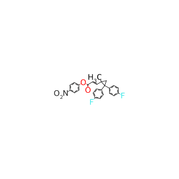 C[C@@]1(/C=C/C(=O)Oc2ccc([N+](=O)[O-])cc2)CC1(c1ccc(F)cc1)c1ccc(F)cc1